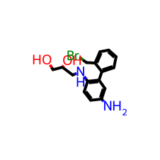 Nc1ccc(NCC(O)CO)c(-c2ccccc2CBr)c1